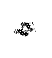 C=CCSCC1=CC(C)(C)Nc2ccc(-c3ccccc3C(F)(F)F)cc21.CC1=CC(C)(C)Nc2ccc(OS(=O)(=O)C(F)(F)F)cc21